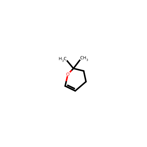 CC1(C)CCC=CO1